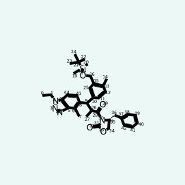 CCn1nnc2c(C)c(C(c3ccc(C)c(CO[Si](C)(C)C(C)(C)C)c3)C(C)C(=O)N3C(=O)OC[C@H]3Cc3ccccc3)ccc21